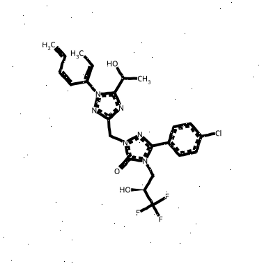 C=C/C=C\C(=C/C)n1nc(Cn2nc(-c3ccc(Cl)cc3)n(C[C@H](O)C(F)(F)F)c2=O)nc1C(C)O